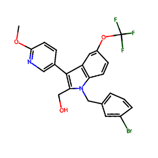 COc1ccc(-c2c(CO)n(Cc3cccc(Br)c3)c3ccc(OC(F)(F)F)cc23)cn1